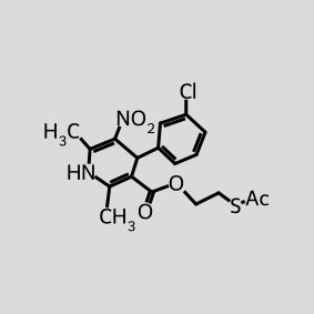 CC(=O)SCCOC(=O)C1=C(C)NC(C)=C([N+](=O)[O-])C1c1cccc(Cl)c1